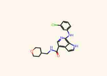 O=C(NCC1CCOCC1)c1cnc(Nc2cccc(Cl)c2)c2[nH]ccc12